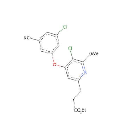 CCOC(=O)CCc1cc(Oc2cc(Cl)cc(C#N)c2)c(Cl)c(OC)n1